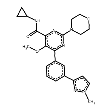 COc1c(C(=O)NC2CC2)nc(N2CCOCC2)nc1-c1cccc(-c2ccn(C)n2)c1